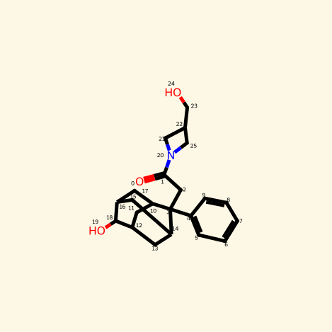 O=C(CC1(c2ccccc2)C2CC3CC1CC(C2)C3O)N1CC(CO)C1